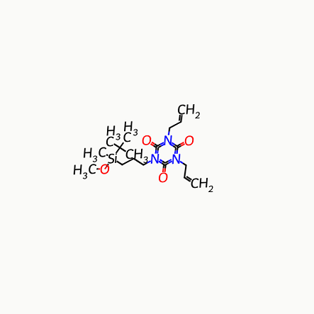 C=CCn1c(=O)n(CC=C)c(=O)n(CCC[Si](C)(OC)C(C)(C)C)c1=O